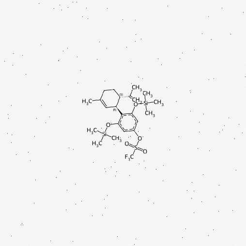 C=C(C)[C@H]1CCC(C)=C[C@@H]1c1c(O[Si](C)(C)C)cc(OS(=O)(=O)C(F)(F)F)cc1O[Si](C)(C)C